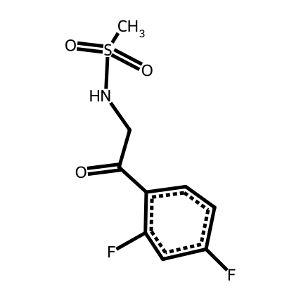 CS(=O)(=O)NCC(=O)c1ccc(F)cc1F